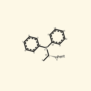 CCCCC[C@H](C)P(c1ccccc1)c1ccccc1